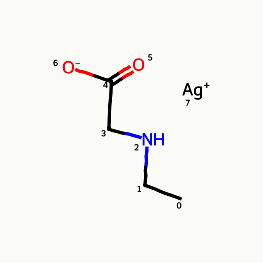 CCNCC(=O)[O-].[Ag+]